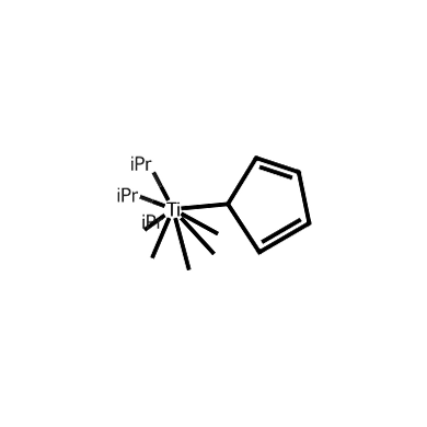 C[CH](C)[Ti]([CH3])([CH3])([CH3])([CH3])([CH3])([CH](C)C)([CH](C)C)[CH]1C=CC=C1